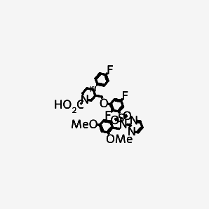 COc1ccc(CN(c2ncccn2)S(=O)(=O)c2cc(F)cc(OCC3CN(C(=O)O)CC[C@@H]3c3ccc(F)cc3)c2F)c(OC)c1